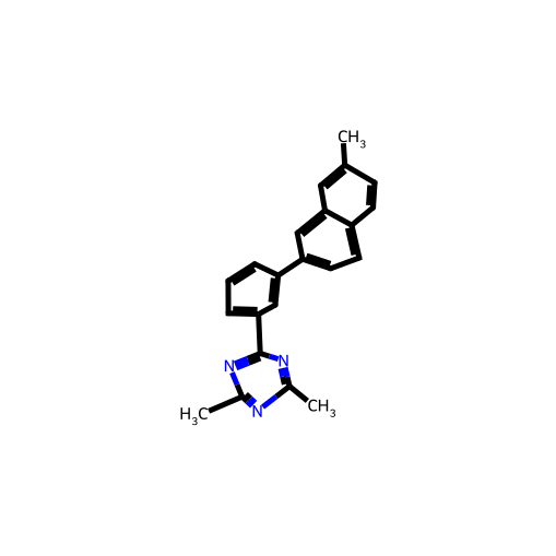 Cc1ccc2ccc(-c3cccc(-c4nc(C)nc(C)n4)c3)cc2c1